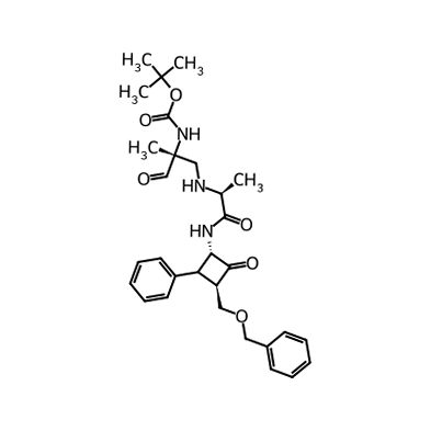 C[C@H](NC[C@](C)(C=O)NC(=O)OC(C)(C)C)C(=O)N[C@@H]1C(=O)[C@@H](COCc2ccccc2)C1c1ccccc1